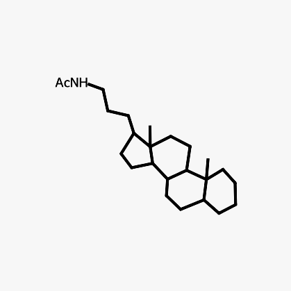 CC(=O)NCCCC1CCC2C3CCC4CCCCC4(C)C3CCC12C